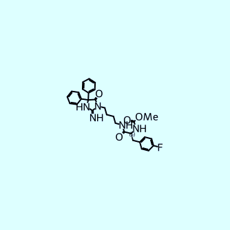 COC(=O)N[C@@H](Cc1ccc(F)cc1)C(=O)NCCCCN1C(=N)NC(c2ccccc2)(c2ccccc2)C1=O